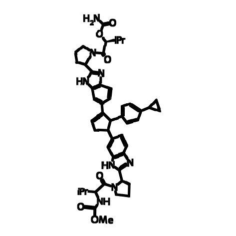 COC(=O)NC(C(=O)N1CCCC1c1nc2ccc(C3CC=C(c4ccc5nc(C6CCCN6C(=O)[C@@H](OC(N)=O)C(C)C)[nH]c5c4)C3c3ccc(C4CC4)cc3)cc2[nH]1)C(C)C